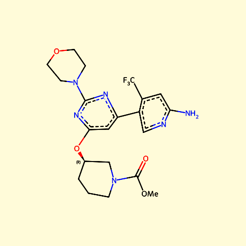 COC(=O)N1CCC[C@@H](Oc2cc(-c3cnc(N)cc3C(F)(F)F)nc(N3CCOCC3)n2)C1